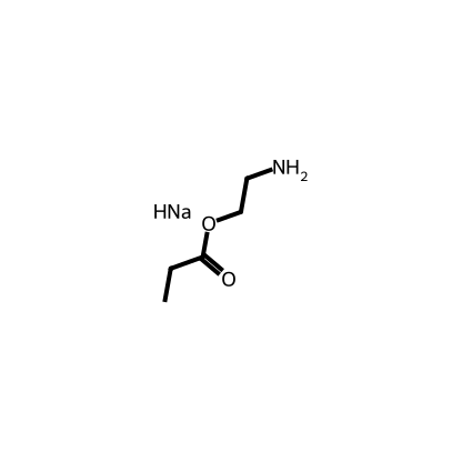 CCC(=O)OCCN.[NaH]